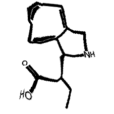 CCC(C(=O)O)C1NCc2ccccc21